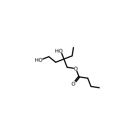 CCCC(=O)OCC(O)(CC)CCO